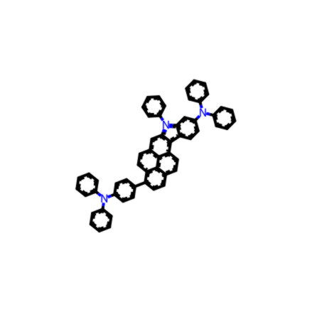 c1ccc(N(c2ccccc2)c2ccc(-c3ccc4ccc5c6c(ccc3c46)cc3c5c4ccc(N(c5ccccc5)c5ccccc5)cc4n3-c3ccccc3)cc2)cc1